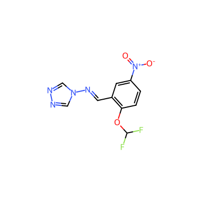 O=[N+]([O-])c1ccc(OC(F)F)c(C=Nn2cnnc2)c1